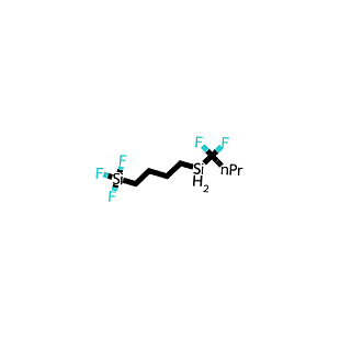 CCCC(F)(F)[SiH2]CCCC[Si](F)(F)F